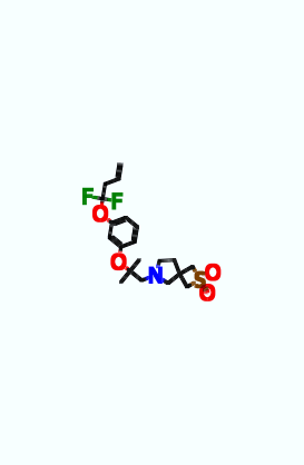 C=CCC(F)(F)Oc1cccc(OC(C)(C)CN2CCC3(C2)CS(=O)(=O)C3)c1